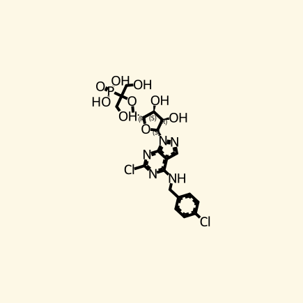 O=P(O)(O)C(CO)(CO)OC[C@H]1O[C@H](n2ncc3c(NCc4ccc(Cl)cc4)nc(Cl)nc32)[C@H](O)[C@@H]1O